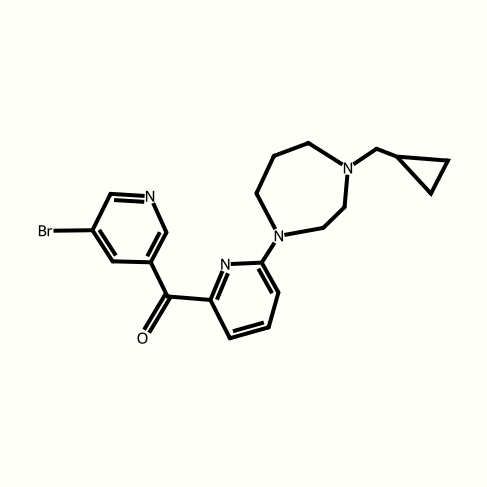 O=C(c1cncc(Br)c1)c1cccc(N2CCCN(CC3CC3)CC2)n1